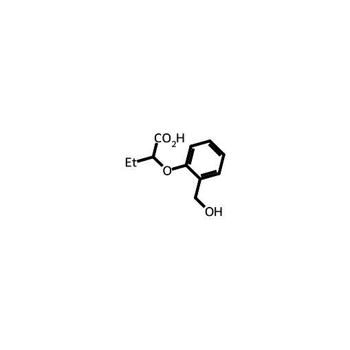 CCC(Oc1ccccc1CO)C(=O)O